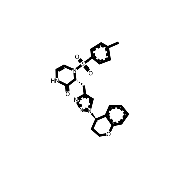 Cc1ccc(S(=O)(=O)N2C=CNC(=O)[C@H]2Cc2cn([C@@H]3CCOc4ccccc43)nn2)cc1